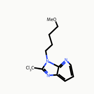 COCCCCn1c(C(Cl)(Cl)Cl)nc2cccnc21